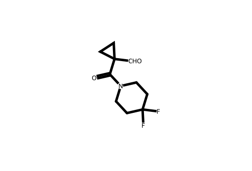 O=CC1(C(=O)N2CCC(F)(F)CC2)CC1